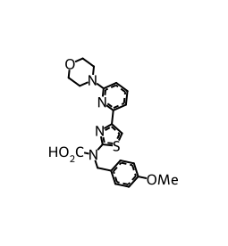 COc1ccc(CN(C(=O)O)c2nc(-c3cccc(N4CCOCC4)n3)cs2)cc1